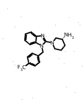 N[C@@H]1CCCN(c2nc3ccccc3n2Cc2ccc(C(F)(F)F)cc2)C1